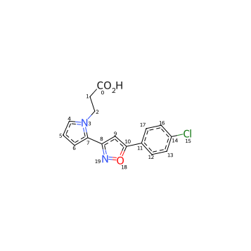 O=C(O)CCn1cccc1-c1cc(-c2ccc(Cl)cc2)on1